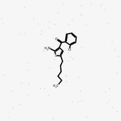 CCCCCCc1cc(C(=O)c2ccccc2Cl)c(N)s1